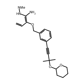 C=C/C(OCc1cccc(C#CC(C)(C)OC2CCCCO2)c1)=C(/N)NNC